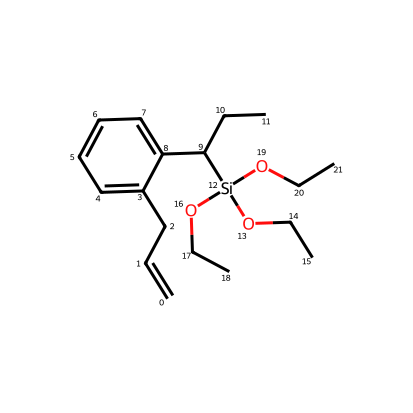 C=CCc1ccccc1C(CC)[Si](OCC)(OCC)OCC